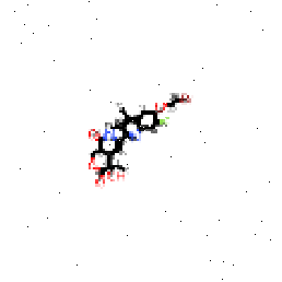 CC[C@@]1(O)C(=O)OCc2c1cc1n(c2=O)Cc2c-1nc1cc(F)c(OCCBr)cc1c2C